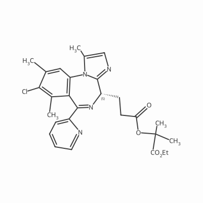 CCOC(=O)C(C)(C)OC(=O)CC[C@@H]1N=C(c2ccccn2)c2c(cc(C)c(Cl)c2C)-n2c(C)cnc21